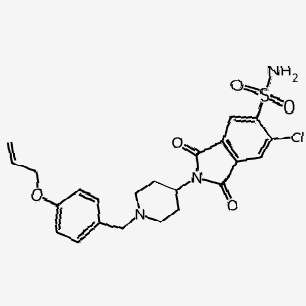 C=CCOc1ccc(CN2CCC(N3C(=O)c4cc(Cl)c(S(N)(=O)=O)cc4C3=O)CC2)cc1